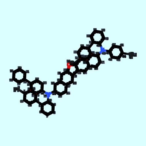 CC(C)c1ccc(-c2ccccc2N(c2ccc(-c3ccccc3)cc2)c2ccc3cc4c(cc3c2)oc2cc3cc(N(c5ccc(C(C)(C)C)cc5)c5ccccc5-c5ccc(C(C)C)cc5)ccc3cc24)cc1